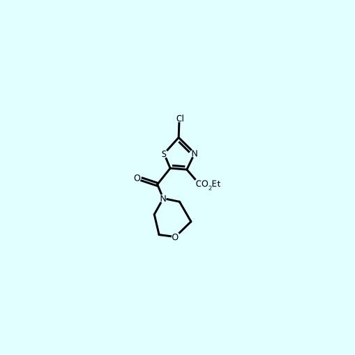 CCOC(=O)c1nc(Cl)sc1C(=O)N1CCOCC1